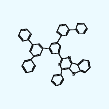 c1ccc(-c2cccc(-c3cc(-c4cc(-c5ccccc5)cc(-c5ccccc5)c4)cc(-c4nc(-c5ccccc5)c5sc6ccccc6c5n4)c3)c2)cc1